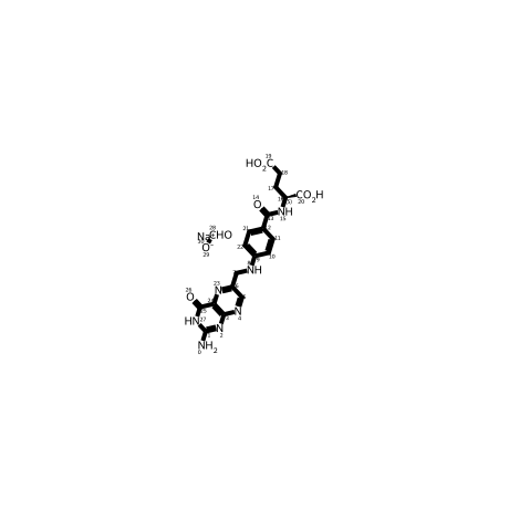 Nc1nc2ncc(CNc3ccc(C(=O)N[C@@H](CCC(=O)O)C(=O)O)cc3)nc2c(=O)[nH]1.O=C[O-].[Na+]